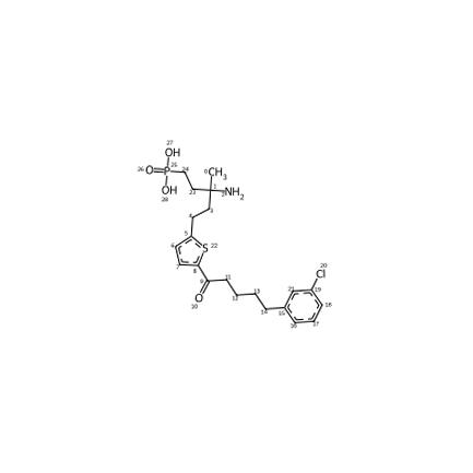 CC(N)(CCc1ccc(C(=O)CCCCc2cccc(Cl)c2)s1)CCP(=O)(O)O